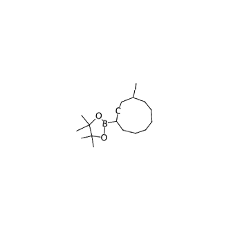 CC1(C)OB(C2CCCCCCC(I)CC2)OC1(C)C